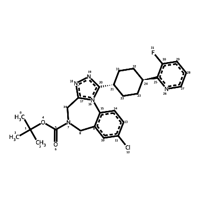 CC(C)(C)OC(=O)N1Cc2cc(Cl)ccc2-n2c(nnc2[C@H]2CC[C@H](c3ncccc3F)CC2)C1